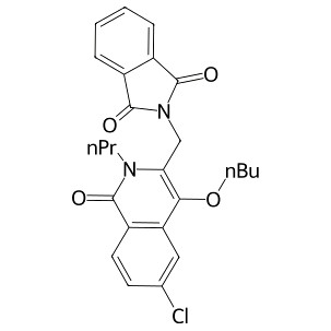 CCCCOc1c(CN2C(=O)c3ccccc3C2=O)n(CCC)c(=O)c2ccc(Cl)cc12